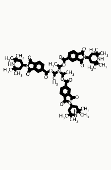 CC(OC(=O)c1ccc2c(c1)C(=O)N(C1CC(C)(C)NC(C)(C)C1)C2=O)N(C(C)OC(=O)c1ccc2c(c1)C(=O)N(C1CC(C)(C)NC(C)(C)C1)C2=O)C(C)OC(=O)c1ccc2c(c1)C(=O)N(C1CC(C)(C)NC(C)(C)C1)C2=O